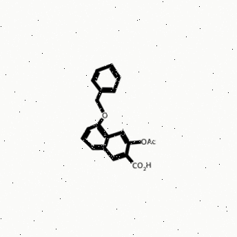 CC(=O)Oc1cc2c(OCc3ccccc3)cccc2cc1C(=O)O